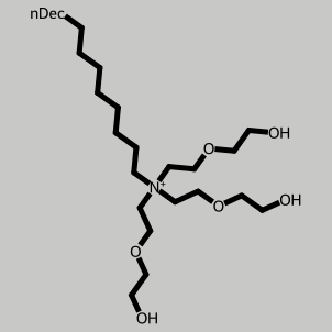 CCCCCCCCCCCCCCCCCC[N+](CCOCCO)(CCOCCO)CCOCCO